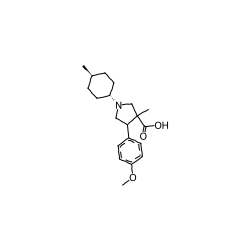 COc1ccc(C2CN([C@H]3CC[C@H](C)CC3)CC2(C)C(=O)O)cc1